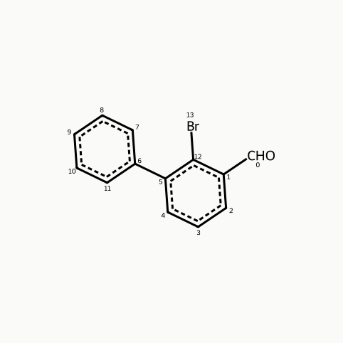 O=Cc1cccc(-c2ccccc2)c1Br